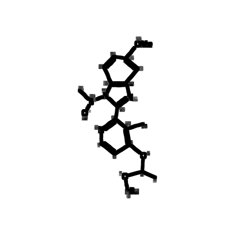 CCCCOC(C)Oc1ccnc(-c2nc3cc(OC)ccc3n2[S+](C)[O-])c1C